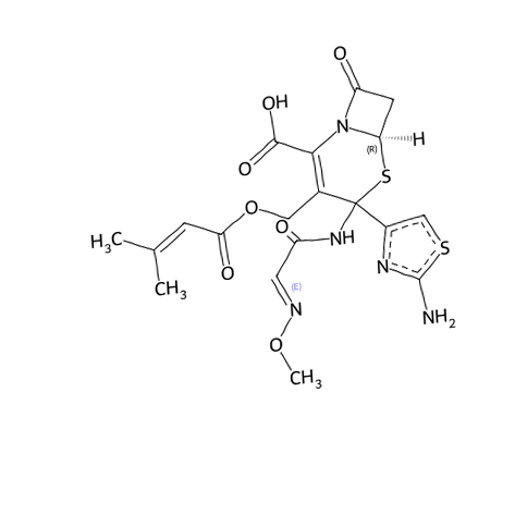 CO/N=C/C(=O)NC1(c2csc(N)n2)S[C@@H]2CC(=O)N2C(C(=O)O)=C1COC(=O)C=C(C)C